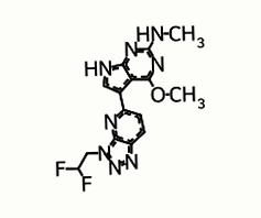 CNc1nc(OC)c2c(-c3ccc4nnn(CC(F)F)c4n3)c[nH]c2n1